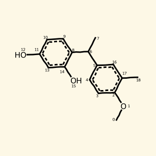 COc1ccc(C(C)c2ccc(O)cc2O)cc1C